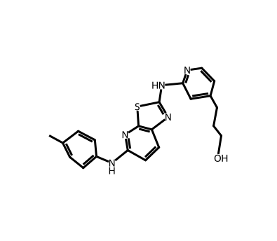 Cc1ccc(Nc2ccc3nc(Nc4cc(CCCO)ccn4)sc3n2)cc1